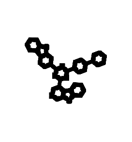 c1ccc(-c2ccc(-c3nc(-c4ccc5c(c4)oc4ccccc45)nc(-c4cncc5oc6ccccc6c45)n3)cc2)cc1